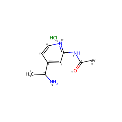 CC(C)C(=O)Nc1cc(C(C)N)ccn1.Cl